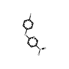 O=[N+]([O-])c1ccc(Oc2ccc(F)cc2)nc1